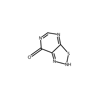 O=c1ncnc2s[nH]nc1-2